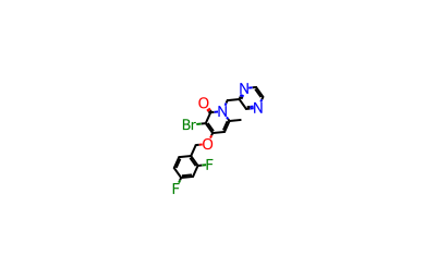 Cc1cc(OCc2ccc(F)cc2F)c(Br)c(=O)n1Cc1cnccn1